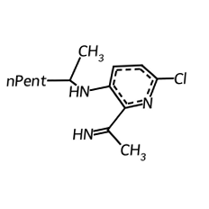 CCCCCC(C)Nc1ccc(Cl)nc1C(C)=N